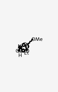 CCc1cc2[nH]c(=O)c3cnn(C4CCOCC4)c3c2cc1C(=O)N1CCN(CCCCCOC)CC1